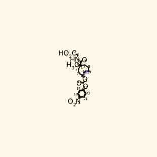 C[C@@]1(C(=O)NCC(=O)O)CC/C=C/[C@H](OC(=O)Oc2ccc([N+](=O)[O-])cc2)CC1